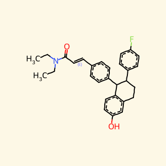 CCN(CC)C(=O)/C=C/c1ccc(C2c3ccc(O)cc3CCC2c2ccc(F)cc2)cc1